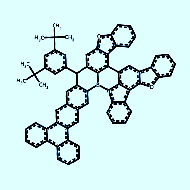 CC(C)(C)c1cc(C2c3cc4cc5c6ccccc6c6ccccc6c5cc4cc3B3c4c2cc2oc5ccccc5c2c4-c2cc4c5ccccc5oc4c4c5ccccc5n3c24)cc(C(C)(C)C)c1